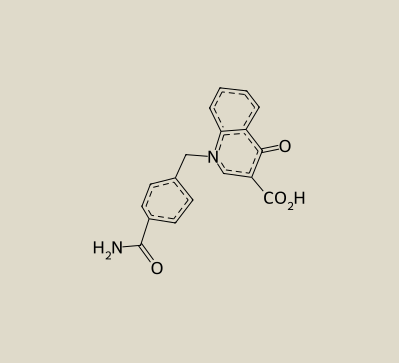 NC(=O)c1ccc(Cn2cc(C(=O)O)c(=O)c3ccccc32)cc1